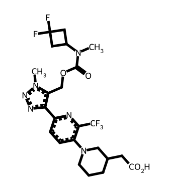 CN(C(=O)OCc1c(-c2ccc(N3CCCC(CC(=O)O)C3)c(C(F)(F)F)n2)nnn1C)C1CC(F)(F)C1